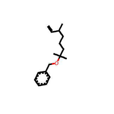 C=CC(C)CCCC(C)(C)OCc1ccccc1